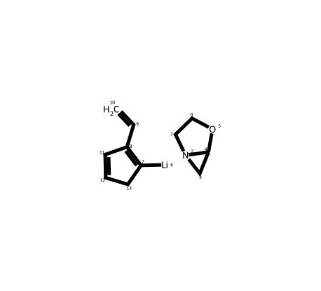 C1CN2CC2O1.[Li][C]1=C(C=C)C=CC1